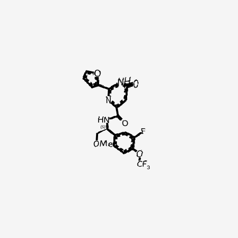 COC[C@@H](NC(=O)c1cc(=O)[nH]c(-c2ccco2)n1)c1ccc(OC(F)(F)F)c(F)c1